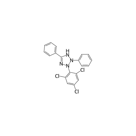 Clc1cc(Cl)c(N2N=C(c3ccccc3)NN2c2ccccc2)c(Cl)c1